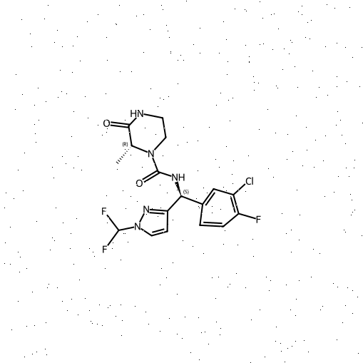 C[C@@H]1C(=O)NCCN1C(=O)N[C@@H](c1ccc(F)c(Cl)c1)c1ccn(C(F)F)n1